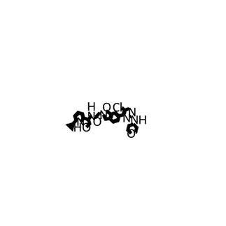 O=C(CN1Cc2ccc(-c3nc(NC4CCOCC4)ncc3Cl)cc2C1=O)NC(CO)c1cccc(C2CC2)n1